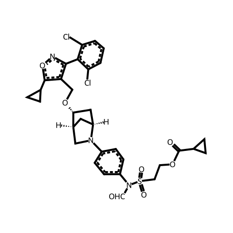 O=CN(c1ccc(N2C[C@@H]3C[C@H]2C[C@H]3OCc2c(-c3c(Cl)cccc3Cl)noc2C2CC2)cc1)S(=O)(=O)CCOC(=O)C1CC1